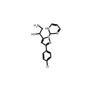 NCC(O)c1cc(-c2ccc(Cl)cc2)nn1C1N=CC=CN1